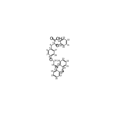 O=C(O)C(Cc1ccc(OCCN2c3ccccc3Sc3ccccc32)cc1)Oc1ccccc1